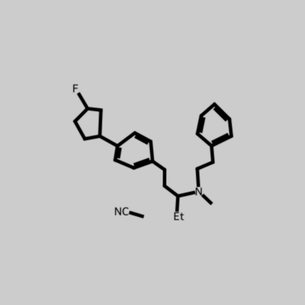 CC#N.CCC(CCc1ccc(C2CCC(F)C2)cc1)N(C)CCc1ccccc1